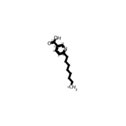 CCCCCCCCc1ccc(C(=O)O)cn1